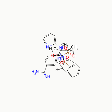 CC(C)(C)NS(=O)(=O)c1c2cccc1[C@@H]1C[N@@+](C(=O)Nc3ccccn3)(S(C)(=O)=O)C2[C@H]1c1cccc(C(=N)N)c1